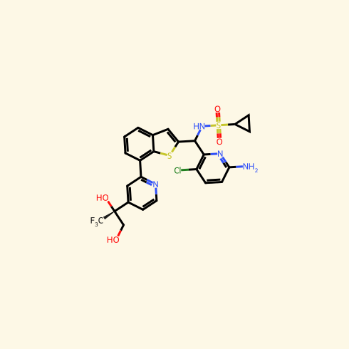 Nc1ccc(Cl)c(C(NS(=O)(=O)C2CC2)c2cc3cccc(-c4cc([C@@](O)(CO)C(F)(F)F)ccn4)c3s2)n1